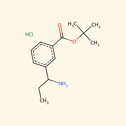 CCC(N)c1cccc(C(=O)OC(C)(C)C)c1.Cl